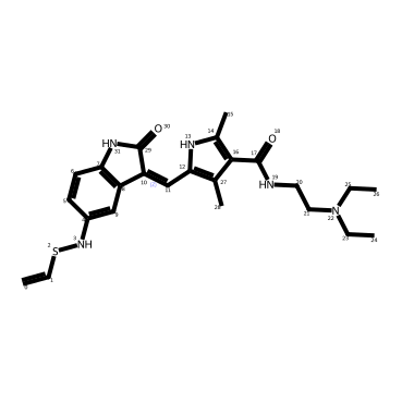 C=CSNc1ccc2c(c1)/C(=C/c1[nH]c(C)c(C(=O)NCCN(CC)CC)c1C)C(=O)N2